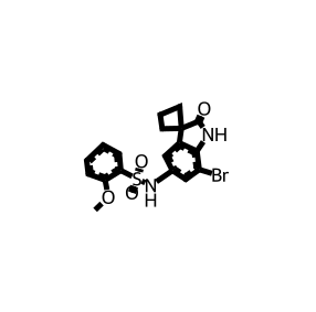 COc1ccccc1S(=O)(=O)Nc1cc(Br)c2c(c1)C1(CCC1)C(=O)N2